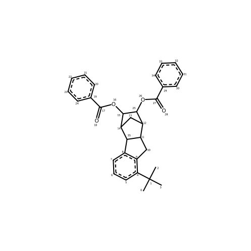 CC(C)(C)c1cccc2c1CC1C3CC(C(OC(=O)c4ccccc4)C3OC(=O)c3ccccc3)C21